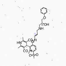 CC1=C(C(=O)O)C(c2cc(S(C)(=O)=O)ccc2OC/C=C/CNC[C@H](O)COc2ccccc2)C(C(=O)O)=C(C)N1